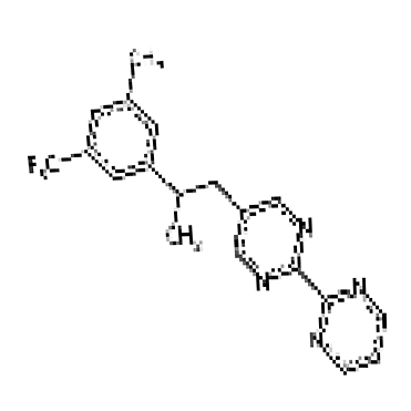 Cc1cc(C(C)Cc2cnc(-c3ncccn3)nc2)cc(C(F)(F)F)c1